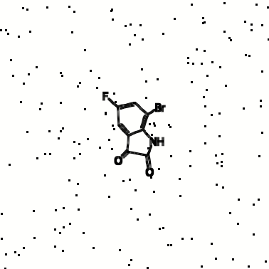 O=C1Nc2c(Br)cc(F)cc2C1=O